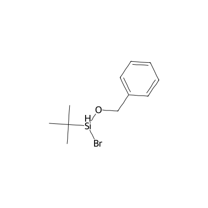 CC(C)(C)[SiH](Br)OCc1ccccc1